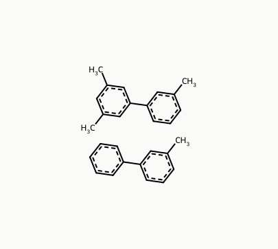 Cc1cccc(-c2cc(C)cc(C)c2)c1.Cc1cccc(-c2ccccc2)c1